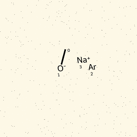 C[O-].[Ar].[Na+]